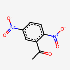 CC(=O)c1cc([N+](=O)[O-])ccc1[N+](=O)[O-]